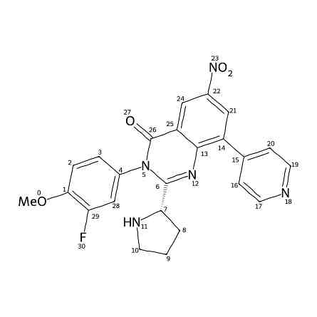 COc1ccc(-n2c([C@@H]3CCCN3)nc3c(-c4ccncc4)cc([N+](=O)[O-])cc3c2=O)cc1F